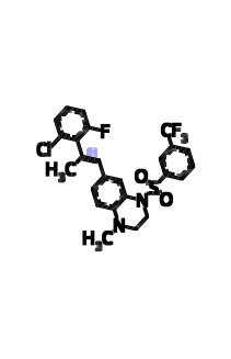 C/C(=C\c1ccc2c(c1)N(S(=O)(=O)c1cccc(C(F)(F)F)c1)CCN2C)c1c(F)cccc1Cl